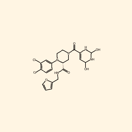 O=C(NCc1ccco1)[C@H]1CN(C(=O)C2=CC(O)NC(O)N2)CCN1c1ccc(Cl)c(Cl)c1